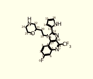 Fc1ccc2c(c1)nc(C(F)(F)F)c1nc(-c3ccc[nH]3)n(CCC3CNCCO3)c12